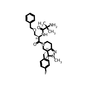 CN1N=C2CCN(C(=O)[C@@H](COCc3ccccc3)NC(=O)C(C)(C)N)C[C@]2(Cc2ccc(F)cc2)C1=O